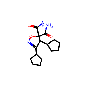 NC(=O)C1(C(N)=O)ON=C(C2CCCC2)C1C1CCCC1